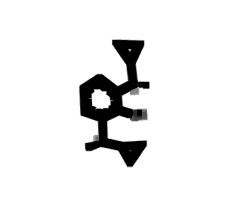 C[C@H](c1cccc([C@H](C)C2CC2)c1O)C1CC1